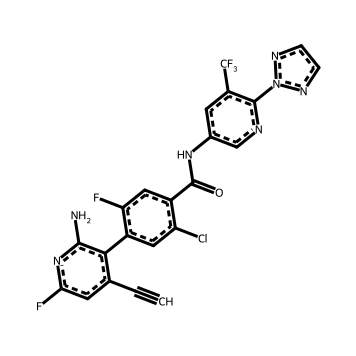 C#Cc1cc(F)nc(N)c1-c1cc(Cl)c(C(=O)Nc2cnc(-n3nccn3)c(C(F)(F)F)c2)cc1F